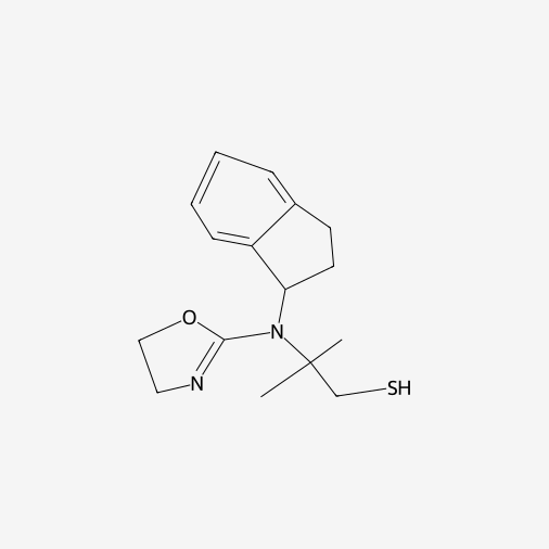 CC(C)(CS)N(C1=NCCO1)C1CCc2ccccc21